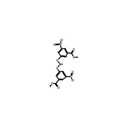 COC(=O)c1cc(OBOc2cc(C(=O)OC)cc([N+](=O)[O-])c2)cc([N+](=O)[O-])c1